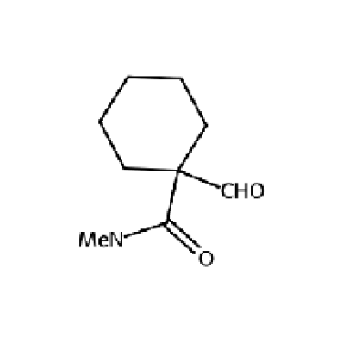 CNC(=O)C1(C=O)CCCCC1